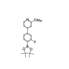 COc1cc(-c2ccc(B3OC(C)(C)C(C)(C)O3)c(F)c2)ccn1